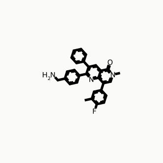 Cc1cc(-c2cn(C)c(=O)c3cc(-c4ccccc4)c(-c4ccc(CN)cc4)nc23)ccc1F